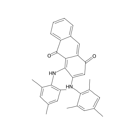 Cc1cc(C)c(NC2=CC(=O)C3=Cc4ccccc4C(=O)C3=C2Nc2c(C)cc(C)cc2C)c(C)c1